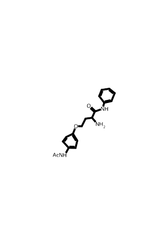 CC(=O)Nc1ccc(OCCC(N)C(=O)Nc2ccccc2)cc1